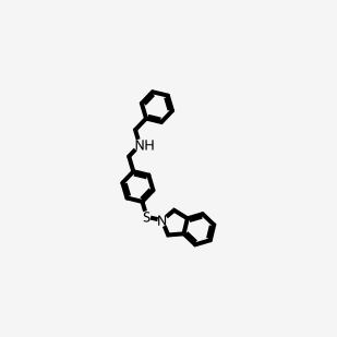 c1ccc(CNCc2ccc(SN3Cc4ccccc4C3)cc2)cc1